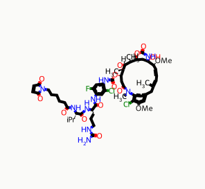 COc1cc2cc(c1Cl)N(C)C(=O)C[C@H](OC(=O)Nc1cc(F)c(NC(=O)[C@H](CCCNC(N)=O)NC(=O)[C@@H](NC(=O)CCCCCN3C(=O)C=CC3=O)C(C)C)cc1Cl)[C@]1(C)O[C@H]1[C@H](C)[C@@H]1C[C@@](O)(NC(=O)O1)[C@H](OC)/C=C/C=C(\C)C2